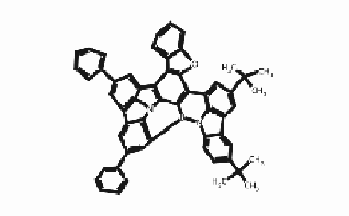 CC(C)(C)c1ccc2c(c1)c1cc(C(C)(C)C)cc3c1n2B1c2cc(-c4ccccc4)cc4c5cc(-c6ccccc6)cc6c7c8c(oc9ccccc98)c-3c1c7n(c24)c56